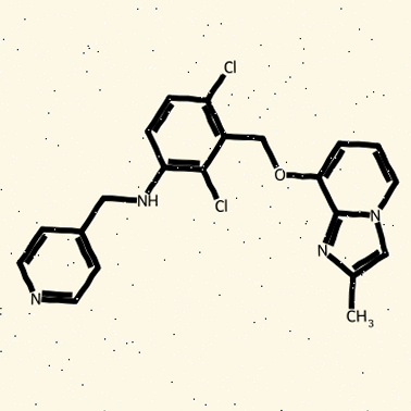 Cc1cn2cccc(OCc3c(Cl)ccc(NCc4ccncc4)c3Cl)c2n1